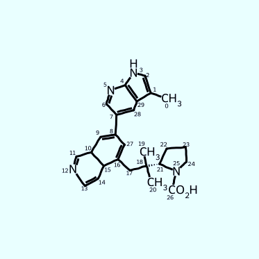 Cc1c[nH]c2ncc(C3=CC4C=NC=CC4C(CC(C)(C)[C@@H]4CCCN4C(=O)O)=C3)cc12